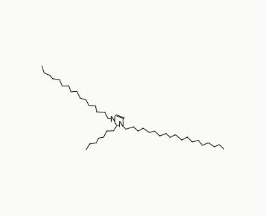 CCCCCCCCCCCCCCCCCCCN1C=CN(CCCCCCCCCCCCCCCC)C1CCCCCCC